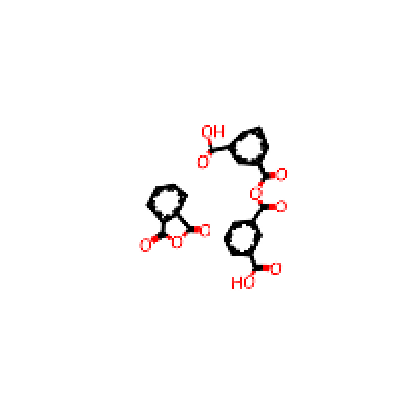 O=C(O)c1cccc(C(=O)OC(=O)c2cccc(C(=O)O)c2)c1.O=C1OC(=O)c2ccccc21